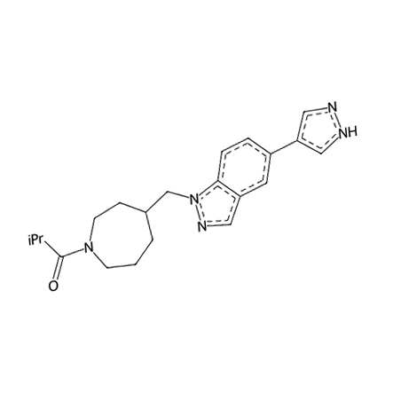 CC(C)C(=O)N1CCCC(Cn2ncc3cc(-c4cn[nH]c4)ccc32)CC1